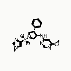 COc1cc(N[C@H]2CN(S(=O)(=O)c3cn(C)cn3)C[C@@H]2c2ccccc2)ncn1